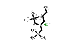 CCC[CH2][Sn]([CH2][Si](C)(C)C)[CH2][Si](C)(C)C.Cl